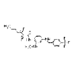 CCCC[C@@H](F)[C@H](F)C(=O)Nc1ccc(NCc2ccc(C(F)(F)F)cc2)cc1NC